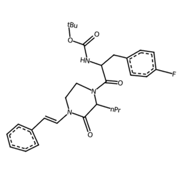 [CH2]CCC1C(=O)N(C=Cc2ccccc2)CCN1C(=O)C(Cc1ccc(F)cc1)NC(=O)OC(C)(C)C